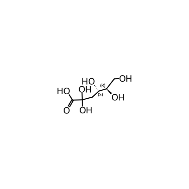 O=C(O)C(O)(O)C[C@H](O)[C@H](O)CO